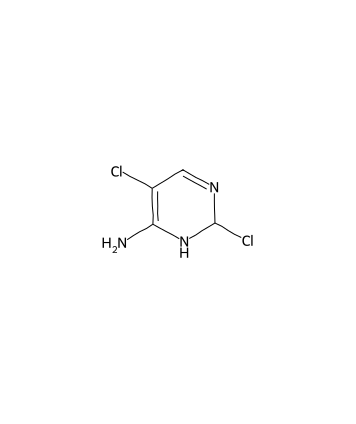 NC1=C(Cl)C=NC(Cl)N1